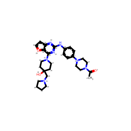 CC(=O)N1CCN(c2ccc(Nc3nc(N4CCC(O)(CN5CCCC5)CC4)c4occc4n3)cc2)CC1